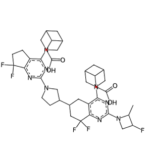 CC1C(F)CN1c1nc(N2CC3CC(C2)C3CC(=O)O)c2c(n1)C(F)(F)CC(C1CCN(c3nc(N4CC5CC(C4)C5CC(=O)O)c4c(n3)C(F)(F)CC4)C1)C2